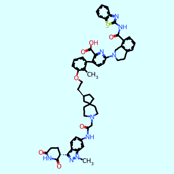 Cc1c(OCC[C@H]2CCC3(CCN(CC(=O)Nc4ccc5c([C@H]6CCC(=O)NC6=O)nn(C)c5c4)CC3)C2)cccc1-c1ccc(N2CCc3cccc(C(=O)Nc4nc5ccccc5s4)c3C2)nc1C(=O)O